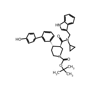 CC(C)(C)OC(=O)N1CC[C@H](c2cccc(-c3ccc(O)cc3)c2)[C@@H](C(=O)N(Cc2c[nH]c3ccccc23)C2CC2)C1